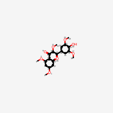 COc1cc(OC)c2c(=O)c(OC)c(-c3cc(OC)c(O)c(OC)c3)oc2c1